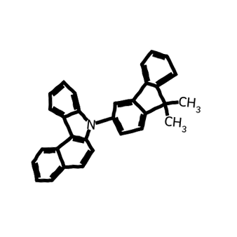 CC1(C)c2ccccc2-c2cc(-n3c4ccccc4c4c5ccccc5ccc43)ccc21